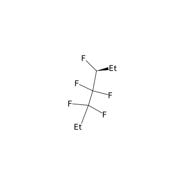 [CH2]CC(F)(F)C(F)(F)[C@@H](F)CC